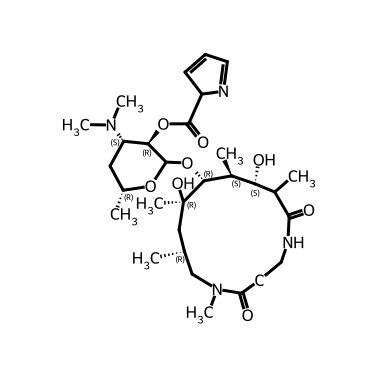 CC1C(=O)NCCC(=O)N(C)C[C@H](C)C[C@@](C)(O)[C@H](OC2O[C@H](C)C[C@H](N(C)C)[C@H]2OC(=O)C2C=CC=N2)[C@@H](C)[C@@H]1O